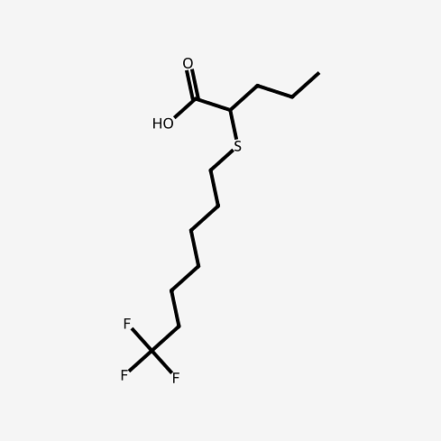 CCCC(SCCCCCCC(F)(F)F)C(=O)O